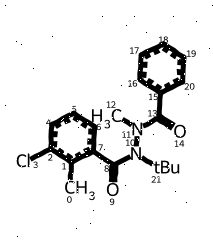 Cc1c(Cl)cccc1C(=O)N(N(C)C(=O)c1ccccc1)C(C)(C)C